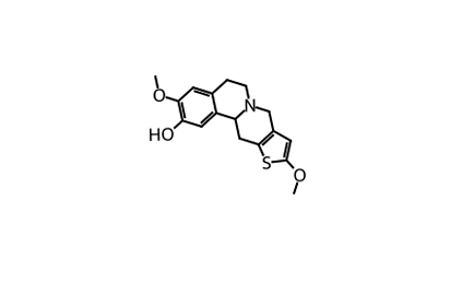 COc1cc2c(s1)CC1c3cc(O)c(OC)cc3CCN1C2